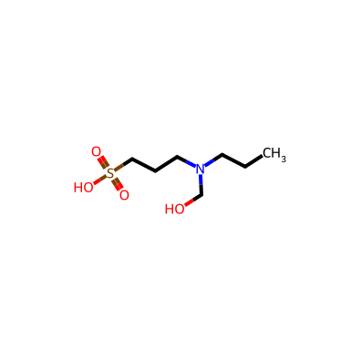 CCCN(CO)CCCS(=O)(=O)O